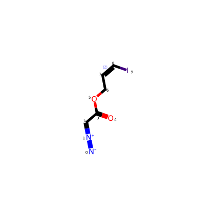 [N-]=[N+]=CC(=O)OC/C=C\I